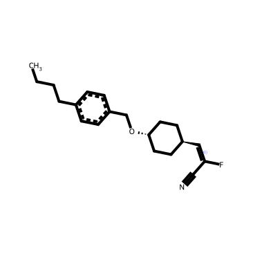 CCCCc1ccc(CO[C@H]2CC[C@H](/C=C(/F)C#N)CC2)cc1